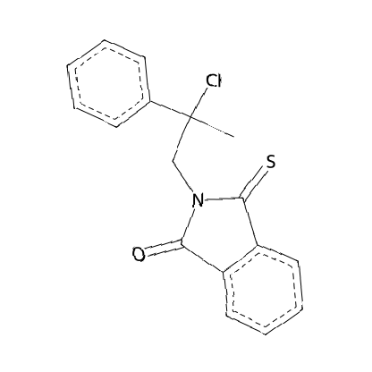 CC(Cl)(CN1C(=O)c2ccccc2C1=S)c1ccccc1